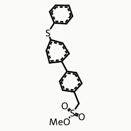 COS(=O)(=O)Cc1ccc(-c2ccc(Sc3ccccc3)cc2)cc1